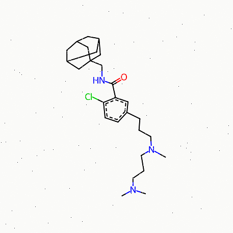 CN(C)CCCN(C)CCCc1ccc(Cl)c(C(=O)NCC23CC4CC(CC(C4)C2)C3)c1